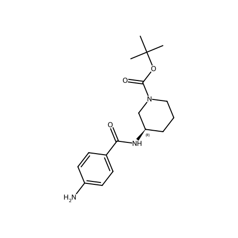 CC(C)(C)OC(=O)N1CCC[C@@H](NC(=O)c2ccc(N)cc2)C1